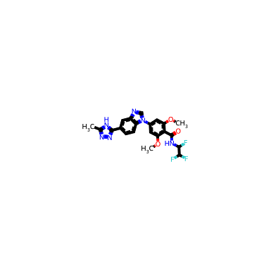 COc1cc(-n2cnc3cc(-c4nnc(C)[nH]4)ccc32)cc(OC)c1C(=O)NC(F)C(F)F